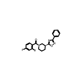 O=C(c1ccc(F)cc1F)N1CCC[C@H](c2nc(-c3ccccc3)no2)C1